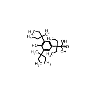 CCC(C)(CC)c1cc(C(CC)(CC)P(=O)(O)O)cc(C(C)(CC)CC)c1O